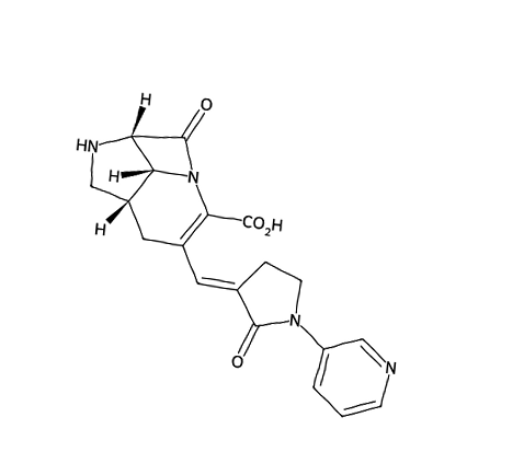 O=C(O)C1=C(/C=C2\CCN(c3cccnc3)C2=O)C[C@@H]2CN[C@@H]3C(=O)N1[C@H]23